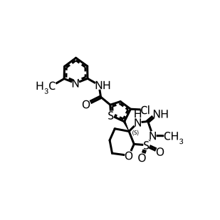 Cc1cccc(NC(=O)c2cc(Cl)c([C@]34CCCOC3S(=O)(=O)N(C)C(=N)N4)s2)n1